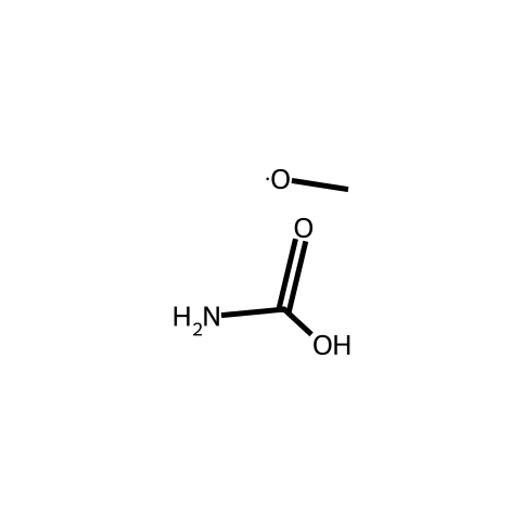 C[O].NC(=O)O